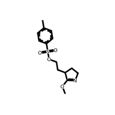 COC1=NCCC1CCOS(=O)(=O)c1ccc(C)cc1